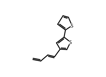 C=C/C=C/c1csc(-c2cccs2)c1